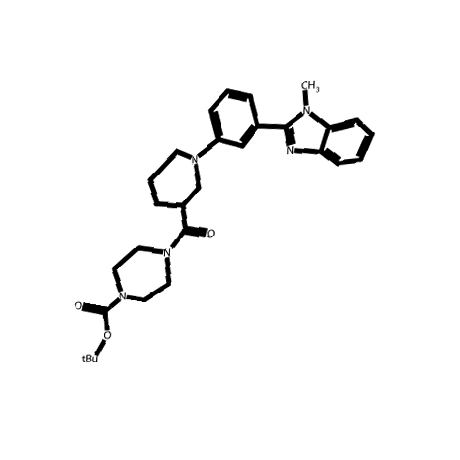 Cn1c(-c2cccc(N3CCCC(C(=O)N4CCN(C(=O)OC(C)(C)C)CC4)C3)c2)nc2ccccc21